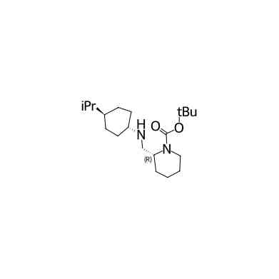 CC(C)[C@H]1CC[C@H](NC[C@H]2CCCCN2C(=O)OC(C)(C)C)CC1